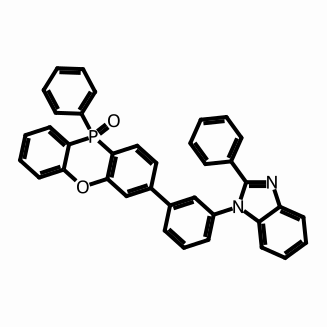 O=P1(c2ccccc2)c2ccccc2Oc2cc(-c3cccc(-n4c(-c5ccccc5)nc5ccccc54)c3)ccc21